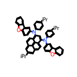 CC(C)c1ccc(N(c2ccc3oc4ccccc4c3c2)c2cc(N(c3ccc(C(C)C)cc3)c3ccc4oc5ccccc5c4c3)c3ccc4cc(C(C)C)cc5ccc2c3c54)cc1